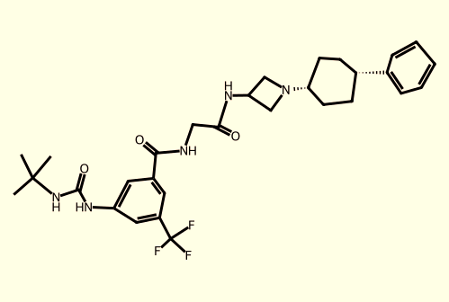 CC(C)(C)NC(=O)Nc1cc(C(=O)NCC(=O)NC2CN([C@H]3CC[C@@H](c4ccccc4)CC3)C2)cc(C(F)(F)F)c1